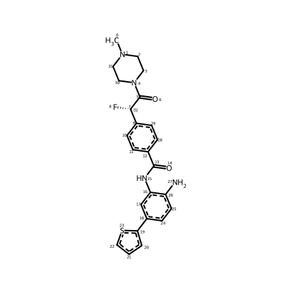 CN1CCN(C(=O)[C@@H](F)c2ccc(C(=O)Nc3cc(-c4cccs4)ccc3N)cc2)CC1